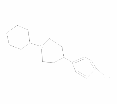 N#Cc1ccc(C2CCN(C3CCCCC3)CC2)cc1